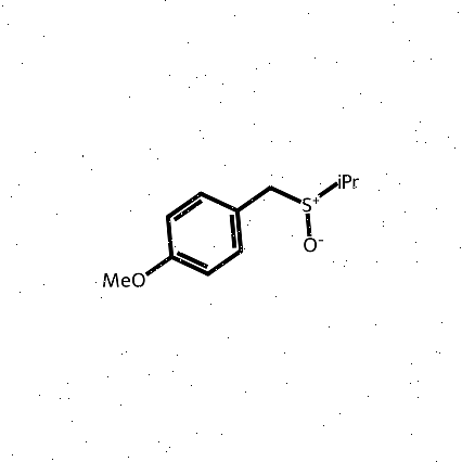 COc1ccc(C[S+]([O-])C(C)C)cc1